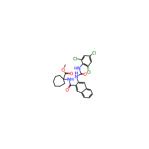 COC(=O)C1(NC(=O)c2cc3ccccc3cc2NC(=O)Nc2c(Cl)cc(Cl)cc2Cl)CCCCCC1